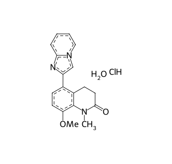 COc1ccc(-c2cn3ccccc3n2)c2c1N(C)C(=O)CC2.Cl.O